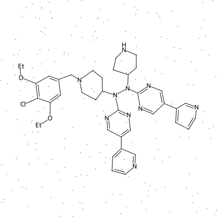 CCOc1cc(CN2CCC(N(c3ncc(-c4cccnc4)cn3)N(c3ncc(-c4cccnc4)cn3)C3CCNCC3)CC2)cc(OCC)c1Cl